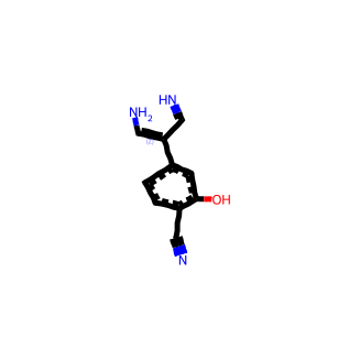 N#Cc1ccc(/C(C=N)=C/N)cc1O